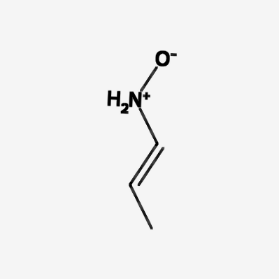 CC=C[NH2+][O-]